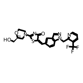 O=C1N=C(N2CCO[C@H](CO)C2)SC1=Cc1ccc2c(cnn2Cc2ncccc2C(F)(F)F)c1